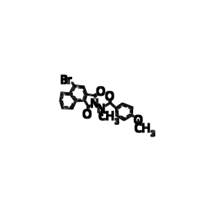 COc1ccc(C(=O)N(C)N2C(=O)c3cc(Br)c4ccccc4c3C2=O)cc1